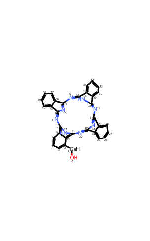 [OH][GaH][c]1cccc2c3nc4nc(nc5[nH]c(nc6nc(nc([nH]3)c12)-c1ccccc1-6)c1ccccc51)-c1ccccc1-4